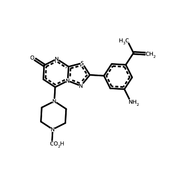 C=C(C)c1cc(N)cc(-c2nn3c(N4CCN(C(=O)O)CC4)cc(=O)nc3s2)c1